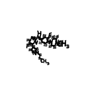 CCCn1cc(-c2nc(Nc3ccc(N4CCN(C)CC4)c(F)c3)ncc2F)cn1